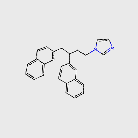 [CH](Cn1ccnc1)C(Cc1ccc2ccccc2c1)c1ccc2ccccc2c1